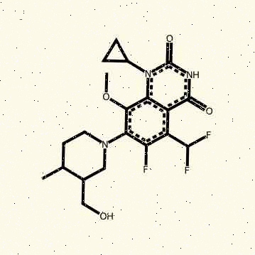 COc1c(N2CCC(C)C(CO)C2)c(F)c(C(F)F)c2c(=O)[nH]c(=O)n(C3CC3)c12